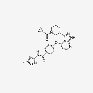 Cc1cnc(NC(=O)c2ccc(Oc3ccnc4[nH]nc(C5CCCN(C(=O)C6CC6)C5)c34)cc2)s1